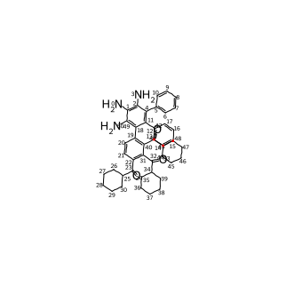 Nc1c(N)c(-c2ccccc2)c(-c2ccccc2)c(-c2ccc(C(=O)C3CCCCC3)c(C(=O)C3CCCCC3)c2C(=O)C2CCCCC2)c1N